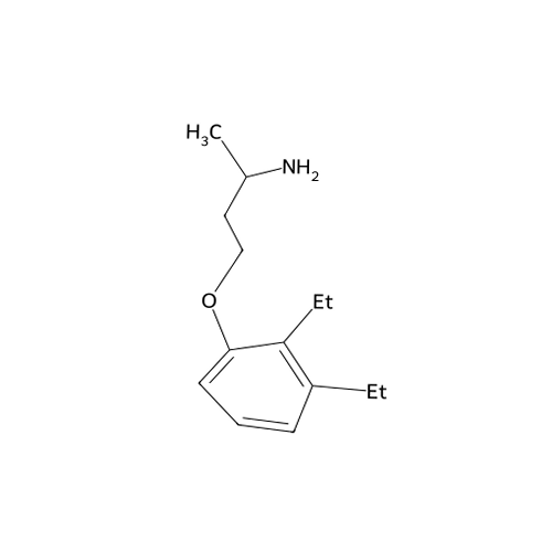 CCc1cccc(OCCC(C)N)c1CC